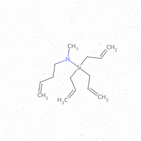 C=CCCN(C)[Si](CC=C)(CC=C)CC=C